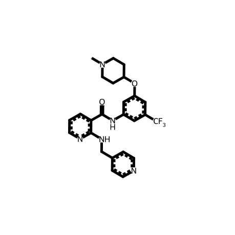 CN1CCC(Oc2cc(NC(=O)c3cccnc3NCc3ccncc3)cc(C(F)(F)F)c2)CC1